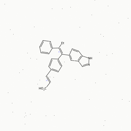 CC/C(=C(/c1ccc(/C=C/C(=O)O)cc1)c1ccc2[nH]ncc2c1)c1ccccc1